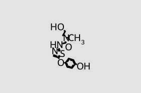 CN(CCO)C(=O)Nc1ncc(Oc2ccc(O)cc2)s1